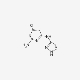 Nc1nc(Cl)cc(Nc2cc[nH]n2)n1